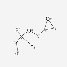 FCC(F)(F)OCC1CO1